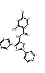 O=C(Nc1oc(-c2ccccc2)nc1-c1ccccc1)c1ccc(Cl)cc1Cl